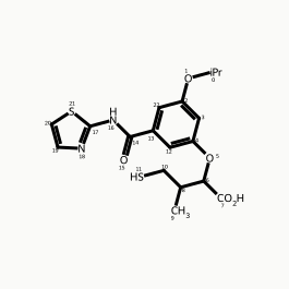 CC(C)Oc1cc(OC(C(=O)O)C(C)CS)cc(C(=O)Nc2nccs2)c1